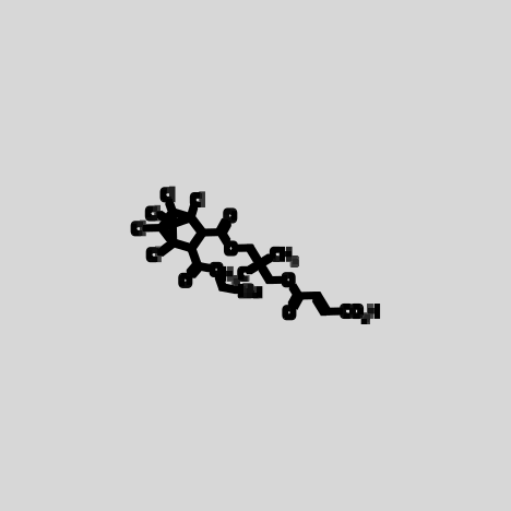 CC(C)(C)COC(=O)C1C(C(=O)OCC(C)(C)COC(=O)C=CC(=O)O)C2(Cl)C(Cl)=C(Cl)C1(Cl)C2Cl